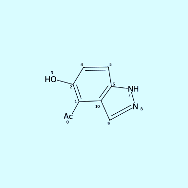 CC(=O)c1c(O)ccc2[nH]ncc12